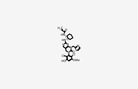 C=CC(=O)N[C@@H]1CCCC[C@@H]1Nc1ncc2c(n1)N(Cc1nccs1)C(=O)N(c1c(Cl)c(O)cc(OC)c1Cl)C2